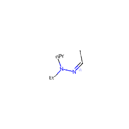 C/C=N\N(CC)CCC